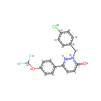 O=c1ccc(-c2ccc(OC(F)F)cc2)nn1Cc1ccc(Cl)cc1